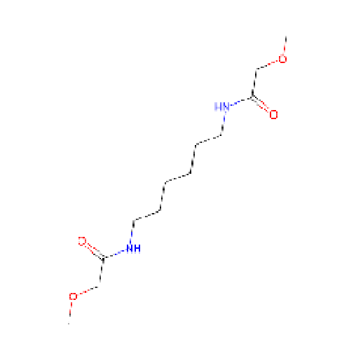 COCC(=O)NCCCCCCNC(=O)COC